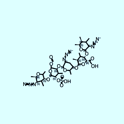 CC1O[C@H](C)[C@@H](N=[N+]=[N-])C(C)[C@@H]1O[C@@H]1OC(OC=O)[C@@H](O[C@H]2OC(C)[C@@H](O[C@@H]3O[C@@H](C(=O)O)[C@@H](O[C@H]4O[C@@H](C)[C@@H](C)C(C)[C@@H]4N=[N+]=[N-])C(C)[C@@H]3C)C[C@@H]2N=[N+]=[N-])C(C)[C@@H]1OS(=O)(=O)O